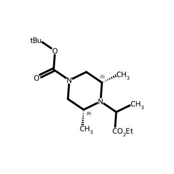 CCOC(=O)C(C)N1[C@H](C)CN(C(=O)OC(C)(C)C)C[C@@H]1C